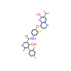 COc1nc2c(Oc3ccc(NC(=O)c4cnc(C)c(-c5ccc(F)cc5C)c4O)cc3F)ccnc2cc1C(C)C